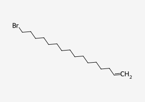 C=CCCCCCCCCCCCCCCBr